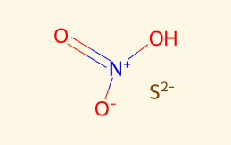 O=[N+]([O-])O.[S-2]